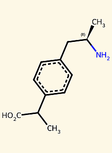 CC(C(=O)O)c1ccc(C[C@@H](C)N)cc1